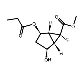 CCC(=O)O[C@@H]1C[C@H](O)[C@@H]2[C@H]1[C@@]2(F)C(=O)OC